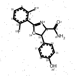 NC(=O)C1N=C(c2c(F)cccc2F)OC1c1ccc(O)cc1